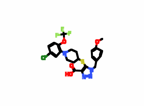 COc1ccc(Cn2nnc(C(=O)O)c2SC2CCN(c3cc(Cl)ccc3OC(F)(F)F)CC2)cc1